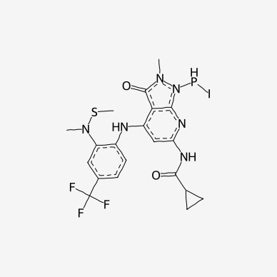 CSN(C)c1cc(C(F)(F)F)ccc1Nc1cc(NC(=O)C2CC2)nc2c1c(=O)n(C)n2PI